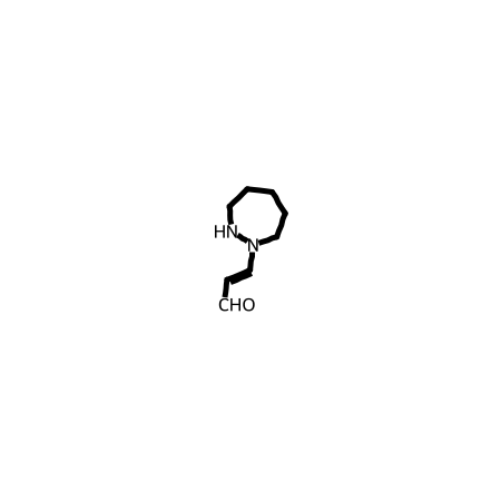 O=CC=CN1CCCCCN1